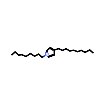 CCCCCCCCCCc1cc[n+](CCCCCCCCC)cc1